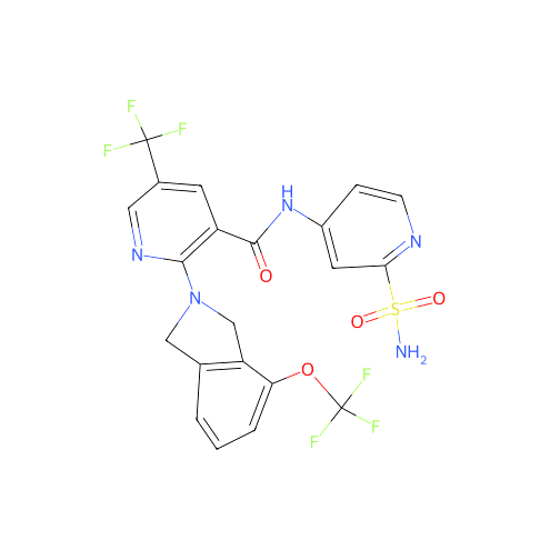 NS(=O)(=O)c1cc(NC(=O)c2cc(C(F)(F)F)cnc2N2Cc3cccc(OC(F)(F)F)c3C2)ccn1